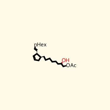 CCCCCCC=C[C@H]1C=CC[C@@H]1CCCCCCC(O)COC(C)=O